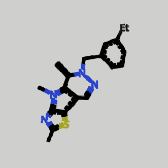 C=C1c2c(c3sc(C)nc3n2C)C=NN1Cc1cccc(CC)c1